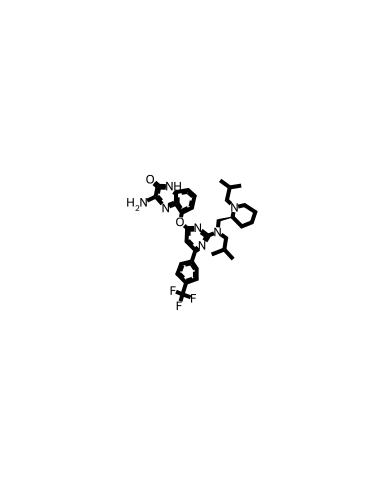 CC(C)CN(C[C@@H]1CCCCN1CC(C)C)c1nc(Oc2cccc3[nH]c(=O)c(N)nc23)cc(-c2ccc(C(F)(F)F)cc2)n1